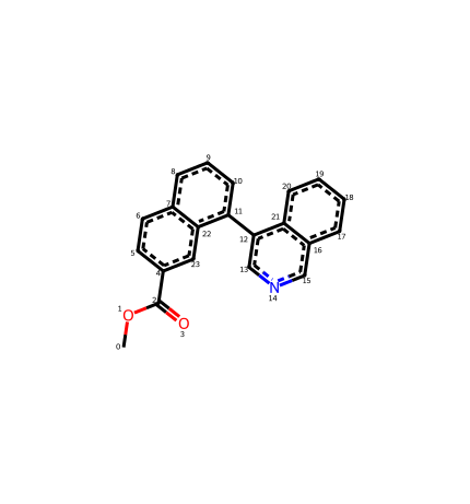 COC(=O)c1ccc2cccc(-c3cncc4ccccc34)c2c1